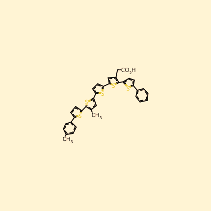 Cc1ccc(-c2ccc(-c3sc(-c4ccc(-c5cc(CC(=O)O)c(-c6ccc(-c7ccccc7)s6)s5)s4)cc3C)s2)cc1